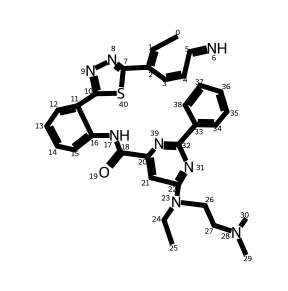 C/C=C(\C=C/C=N)c1nnc(-c2ccccc2NC(=O)c2cc(N(CC)CCN(C)C)nc(-c3ccccc3)n2)s1